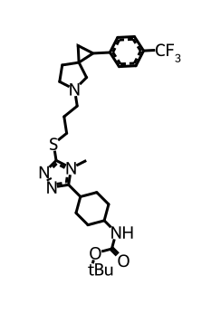 Cn1c(SCCCN2CCC3(CC3c3ccc(C(F)(F)F)cc3)C2)nnc1C1CCC(NC(=O)OC(C)(C)C)CC1